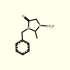 CC1N(C(=O)O)CC(=O)N1Cc1ccccc1